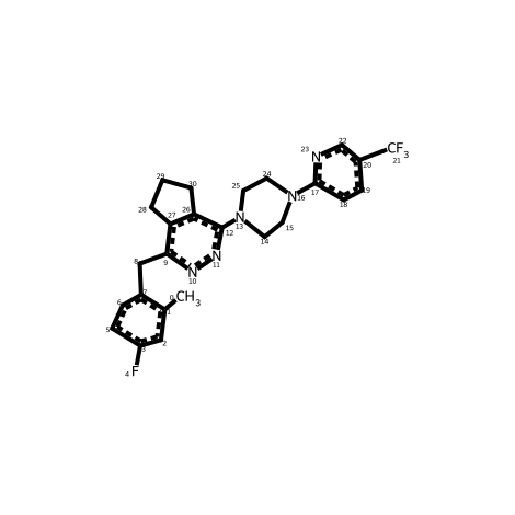 Cc1cc(F)ccc1Cc1nnc(N2CCN(c3ccc(C(F)(F)F)cn3)CC2)c2c1CCC2